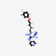 N#CNC(=Nc1ccncc1)NCCCCCCOc1ccc(O)cc1